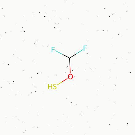 FC(F)OS